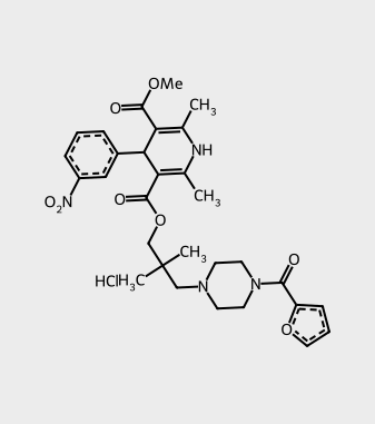 COC(=O)C1=C(C)NC(C)=C(C(=O)OCC(C)(C)CN2CCN(C(=O)c3ccco3)CC2)C1c1cccc([N+](=O)[O-])c1.Cl